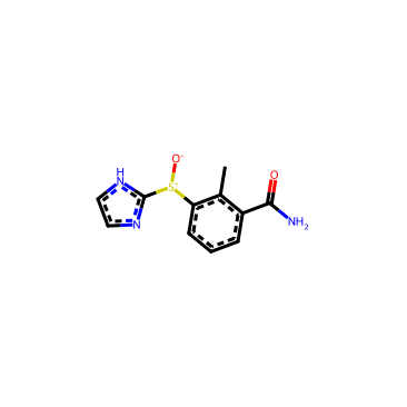 Cc1c(C(N)=O)cccc1[S+]([O-])c1ncc[nH]1